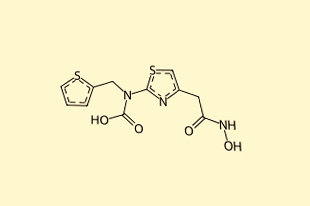 O=C(Cc1csc(N(Cc2cccs2)C(=O)O)n1)NO